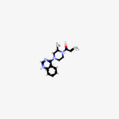 C=CC(=O)N1CCN(c2ncnc3ccccc23)CC1C#N